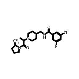 CC(C(=O)N1CCCC1C(F)(F)F)N1CCC(CNC(=O)c2cc(F)cc(Cl)c2)CC1